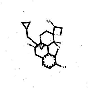 N[C@H]1CC[C@]12CC[C@@]1(O)[C@H]3Cc4ccc(O)c5c4[C@@]1(CCN3CC1CC1)[C@H]2O5